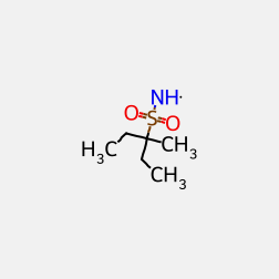 CCC(C)(CC)S([NH])(=O)=O